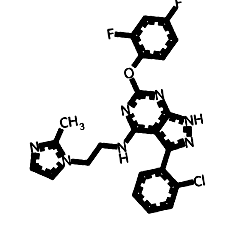 Cc1nccn1CCNc1nc(Oc2ccc(F)cc2F)nc2[nH]nc(-c3ccccc3Cl)c12